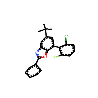 CC(C)(C)c1cc(-c2c(F)cccc2Cl)c2oc(-c3ccccc3)nc2c1